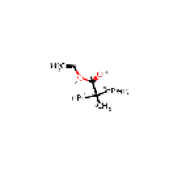 C=COC(=O)C(C)(CCC)CCCCC